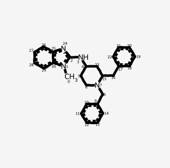 Cn1c(NC2CCN(Cc3ccccc3)C(Cc3ccccc3)C2)nc2ccccc21